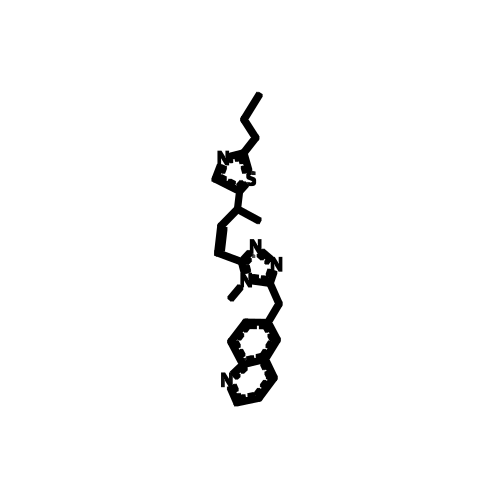 CCCc1ncc(C(C)/C=C\c2nnc(Cc3ccc4ncccc4c3)n2C)s1